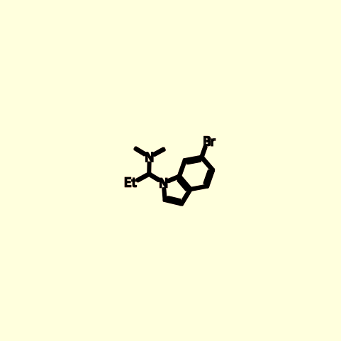 CCC(N(C)C)n1ccc2ccc(Br)cc21